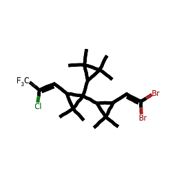 CC1(C)C(C=C(Br)Br)C1C1(C2C(C)(C)C2(C)C)C(C=C(Cl)C(F)(F)F)C1(C)C